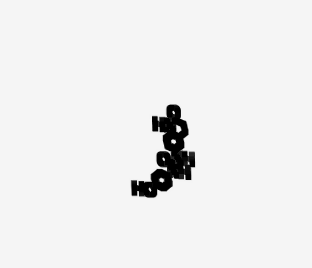 O=C1CCc2cc(NC(=O)Nc3ccc(O)cc3)ccc2N1